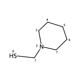 SCN1CCCCC1